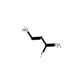 C=C(F)C=CO